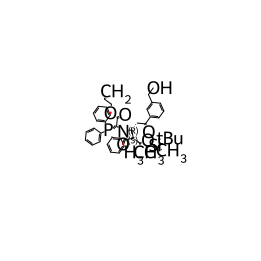 C=CCOC(=O)C(N1C(=O)[C@H](C(C)O[Si](C)(C)C(C)(C)C)[C@H]1CC(=O)c1cccc(CO)c1)=P(c1ccccc1)(c1ccccc1)c1ccccc1